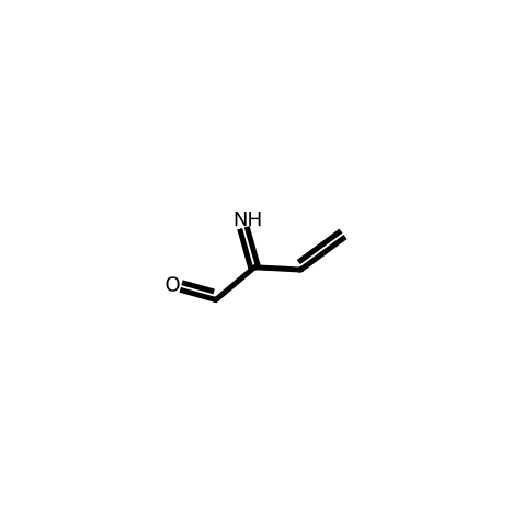 C=CC(=N)C=O